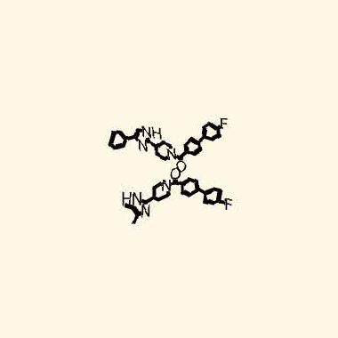 Cc1nc(C2CCN(C(=O)c3ccc(-c4ccc(F)cc4)cc3)CC2)[nH]c1C.O=C(c1ccc(-c2ccc(F)cc2)cc1)N1CCC(c2nc(-c3ccccc3)c[nH]2)CC1